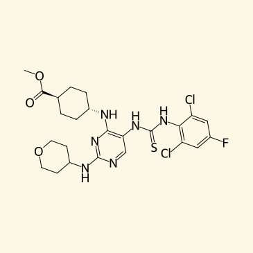 COC(=O)[C@H]1CC[C@H](Nc2nc(NC3CCOCC3)ncc2NC(=S)Nc2c(Cl)cc(F)cc2Cl)CC1